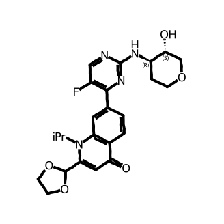 CC(C)n1c(C2OCCO2)cc(=O)c2ccc(-c3nc(N[C@@H]4CCOC[C@H]4O)ncc3F)cc21